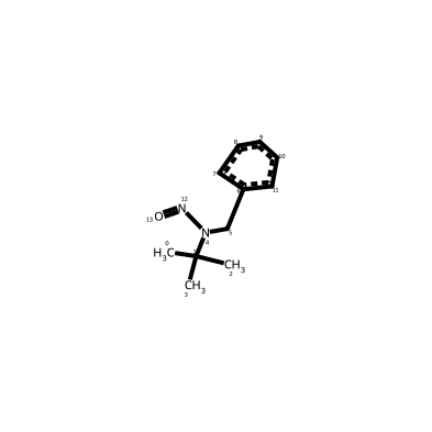 CC(C)(C)N(Cc1ccccc1)N=O